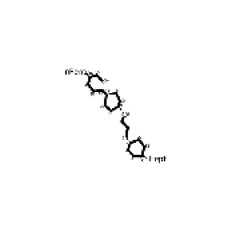 CCCCCCC[C@H]1CC[C@H](CCCO[C@H]2CC[C@H]([C@H]3CC[C@H](CCCCC)CC3)CC2)CC1